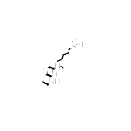 CC(C)(C)[Si](C)(C)OCCCC1CN(c2cnc3c(n2)NC(=O)CO3)C(=O)O1